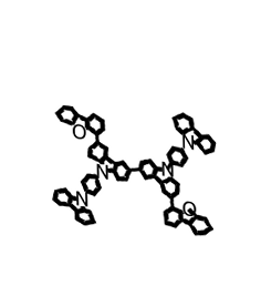 c1ccc2c(c1)oc1c(-c3ccc4c(c3)c3cc(-c5ccc6c(c5)c5cc(-c7cccc8c7oc7ccccc78)ccc5n6-c5ccc(-n6c7ccccc7c7ccccc76)cc5)ccc3n4-c3ccc(-n4c5ccccc5c5ccccc54)cc3)cccc12